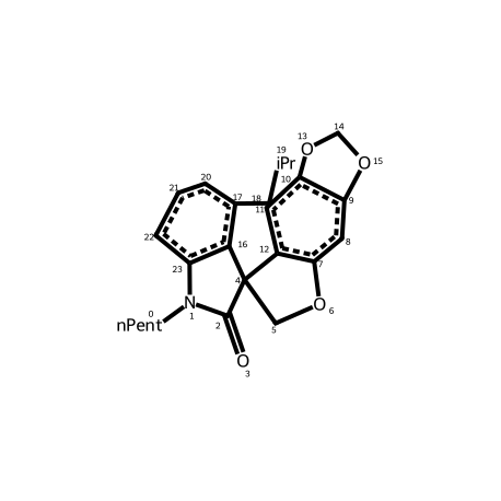 CCCCCN1C(=O)C2(COc3cc4c(cc32)OCO4)c2c(CC(C)C)cccc21